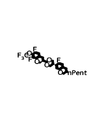 CCCCCC1COc2cc([C@H]3CO[C@H]([C@H]4COc5c(cc(F)c(OC(F)(F)F)c5F)C4)OC3)c(F)cc2C1